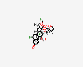 CC1C[C@H]2[C@@H]3C[C@H](F)C4=CC(=O)C=C[C@]4(C)C3(F)[C@@H](O)C[C@]2(C)[C@@]1(OC(=O)[C@]1(C)CCCO1)C(=O)OCF